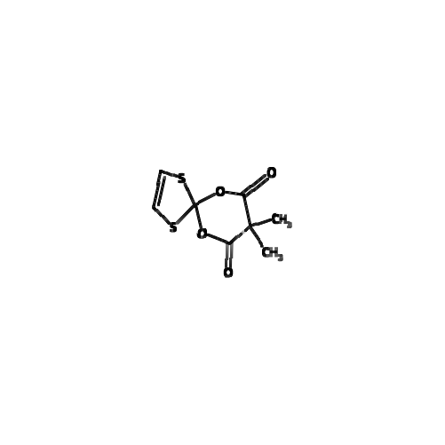 CC1(C)C(=O)OC2(OC1=O)SC=CS2